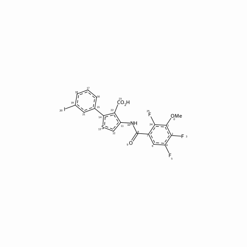 COc1c(F)c(F)cc(C(=O)Nc2csc(-c3cccc(I)c3)c2C(=O)O)c1F